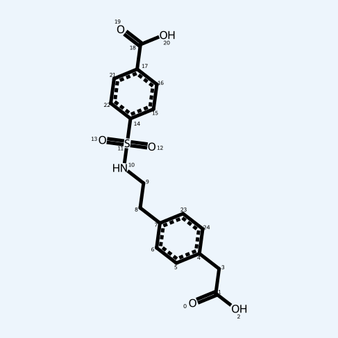 O=C(O)Cc1ccc(CCNS(=O)(=O)c2ccc(C(=O)O)cc2)cc1